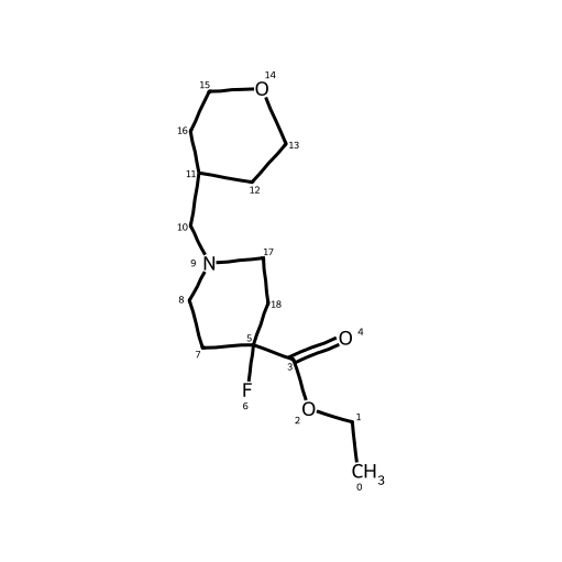 CCOC(=O)C1(F)CCN(CC2CCOCC2)CC1